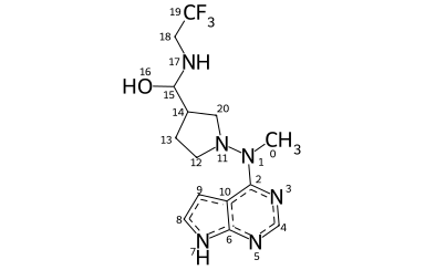 CN(c1ncnc2[nH]ccc12)N1CCC(C(O)NCC(F)(F)F)C1